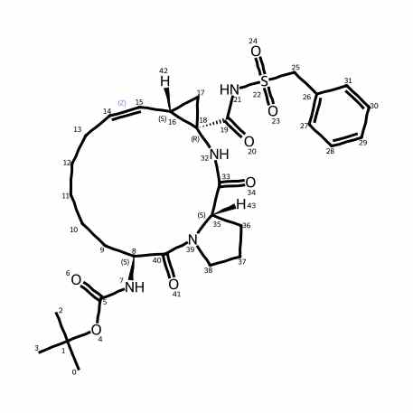 CC(C)(C)OC(=O)N[C@H]1CCCCC/C=C\[C@@H]2C[C@@]2(C(=O)NS(=O)(=O)Cc2ccccc2)NC(=O)[C@@H]2CCCN2C1=O